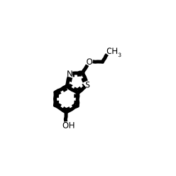 CCOc1nc2ccc(O)cc2s1